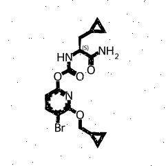 NC(=O)[C@H](CC1CC1)NC(=O)Oc1ccc(Br)c(OCC2CC2)n1